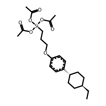 CC[C@H]1CC[C@H](c2ccc(OCCC[Si](OC(C)=O)(OC(C)=O)OC(C)=O)cc2)CC1